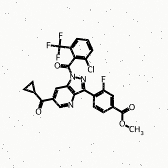 COC(=O)c1ccc(-c2nn(C(=O)c3c(Cl)cccc3C(F)(F)F)c3cc(C(=O)C4CC4)cnc23)c(F)c1